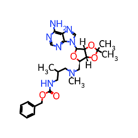 CC(CNC(=O)OCc1ccccc1)CN(C)C[C@H]1OC(n2cnc3c(N)ncnc32)[C@@H]2OC(C)(C)O[C@H]12